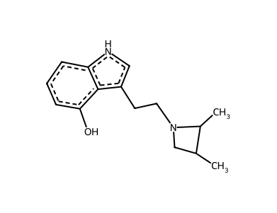 CC1CN(CCc2c[nH]c3cccc(O)c23)C1C